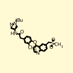 Cc1cc(CC(=O)Nc2cnn(C(C)(C)C)c2)ccc1Oc1ccnc2ccc(CS(C)(=O)=O)cc12